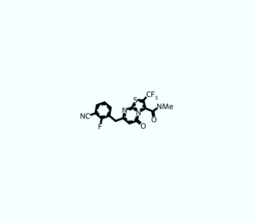 CNC(=O)c1c(C(F)(F)F)sc2nc(Cc3cccc(C#N)c3F)cc(=O)n12